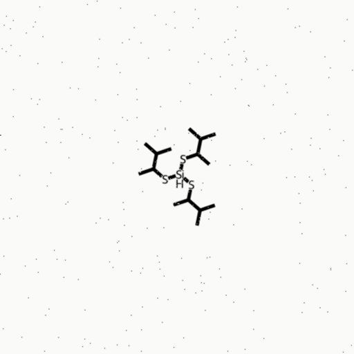 CC(C)C(C)S[SiH](SC(C)C(C)C)SC(C)C(C)C